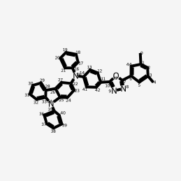 Cc1cc(C)cc(-c2nnc(-c3ccc(N(c4ccccc4)c4ccc5c(c4)c4ccccc4n5-c4ccccc4)cc3)o2)c1